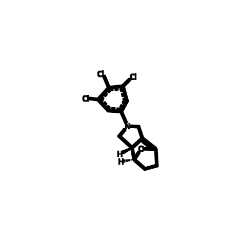 Clc1cc(N2CC3=C4CC[C@H](O4)[C@@H]3C2)cc(Cl)c1Cl